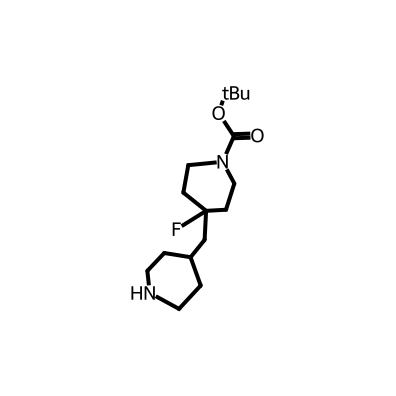 CC(C)(C)OC(=O)N1CCC(F)(CC2CCNCC2)CC1